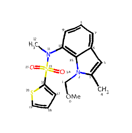 COCn1c(C)cc2cccc(N(C)S(=O)(=O)c3cccs3)c21